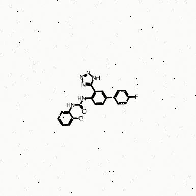 O=C(Nc1ccccc1Cl)Nc1ccc(-c2ccc(F)cc2)cc1-c1nnn[nH]1